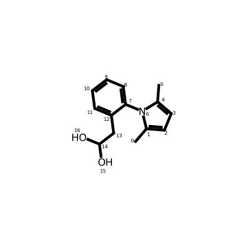 Cc1ccc(C)n1-c1ccccc1CC(O)O